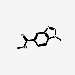 Cn1nnc2cc(C(=N)NO)ccc21